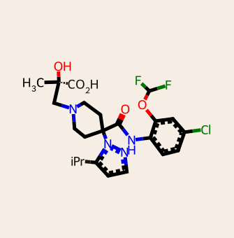 CC(C)c1ccnn1C1(C(=O)Nc2ccc(Cl)cc2OC(F)F)CCN(C[C@@](C)(O)C(=O)O)CC1